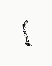 CC(C)(C)[Si](C)(C)OCC(CF)COc1ccc2nc(/C=C/c3cnc(N4CCOCC4)s3)oc2c1